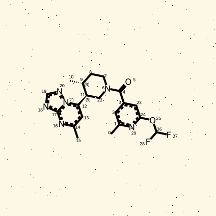 Cc1cc(C(=O)N2CC[C@@H](C)[C@H](c3cc(C)nc4ncnn34)C2)cc(OC(F)F)n1